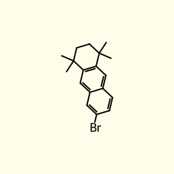 CC1(C)CCC(C)(C)c2cc3cc(Br)ccc3cc21